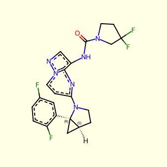 O=C(Nc1cnn2ccc(N3CC[C@H]4C[C@]43c3cc(F)ccc3F)nc12)N1CCC(F)(F)C1